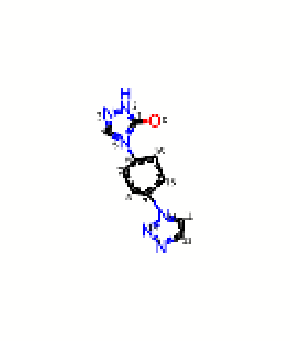 O=c1[nH]ncn1-c1ccc(-n2ccnn2)cc1